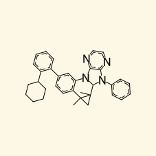 CC12CC1(C)C1N(c3ccccc3)c3nccnc3N1c1cc(-c3ccccc3C3CCCCC3)ccc12